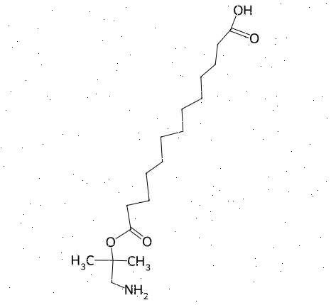 CC(C)(CN)OC(=O)CCCCCCCCCCCC(=O)O